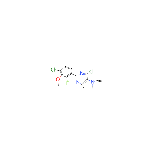 C=CN(C)c1c(C)nc(-c2ccc(Cl)c(OC)c2F)nc1Cl